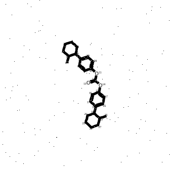 CC1CCCCC1c1ccc(OC(=O)Oc2ccc(C3CCCCC3C)cc2)cc1